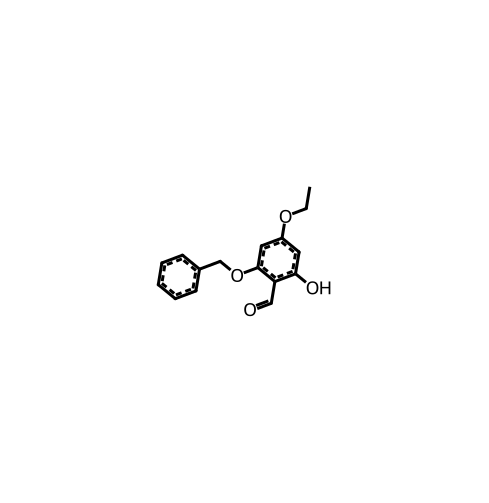 CCOc1cc(O)c(C=O)c(OCc2ccccc2)c1